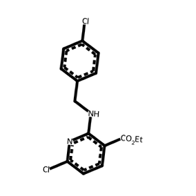 CCOC(=O)c1ccc(Cl)nc1NCc1ccc(Cl)cc1